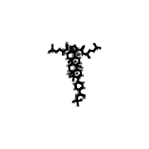 C=C(CN(C)CCN(C)C)[C@@H]1CC[C@]2(C(=O)NCCN(C)C)CC[C@]3(C)[C@H](CC[C@@H]4[C@@]5(C)CC=C(c6ccc(C(=O)OC(C)(C)C)cc6)C(C)(C)[C@@H]5CC[C@]43C)[C@@H]12